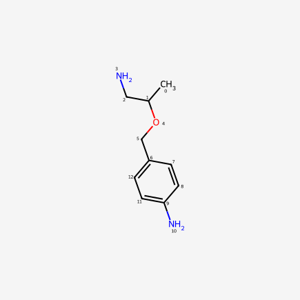 CC(CN)OCc1ccc(N)cc1